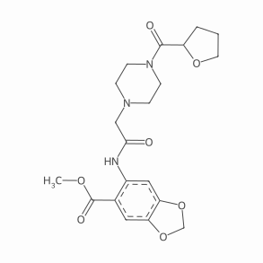 COC(=O)c1cc2c(cc1NC(=O)CN1CCN(C(=O)C3CCCO3)CC1)OCO2